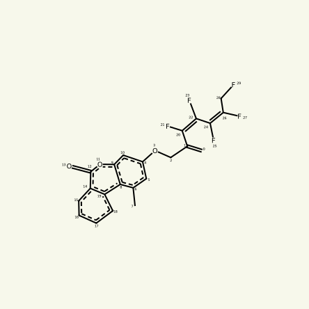 C=C(COc1cc(C)c2c(c1)oc(=O)c1ccccc12)/C(F)=C(F)\C(F)=C(\F)CF